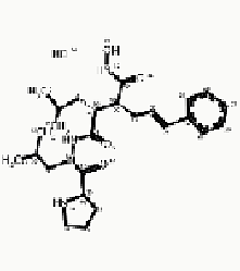 CC(C)C[C@@H](C(=O)NN(CC(C)C)C(=O)[C@H]1CCCN1)[C@H](CC=Cc1ccccc1)C(=O)NO.Cl